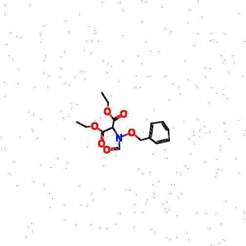 CCOC(=O)C(C(=O)OCC)N(C=O)OCc1ccccc1